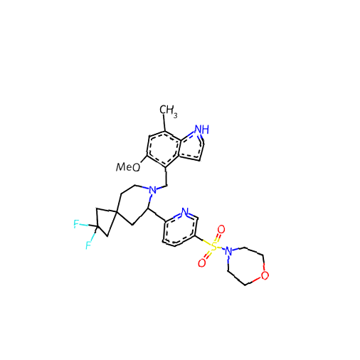 COc1cc(C)c2[nH]ccc2c1CN1CCC2(CC1c1ccc(S(=O)(=O)N3CCOCC3)cn1)CC(F)(F)C2